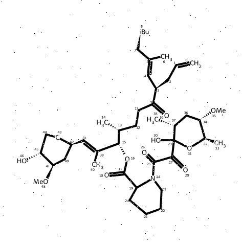 C=CC[C@H](/C=C(\C)C[C@H](C)CC)C(=O)CC[C@@H](C)[C@H](OC(=O)C1CCCCN1C(=O)C(=O)C1(O)O[C@H](C)[C@@H](OC)C[C@H]1C)/C(C)=C/[C@@H]1CC[C@@H](O)[C@H](OC)C1